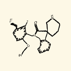 CC(C)Oc1ccc(F)c(F)c1N1C(=O)C2(CCCNC2)c2ccccc21